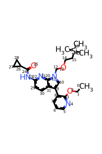 CCOc1ncccc1-c1cn(COCC[Si](C)(C)C)c2nc(NC(=O)C3CC3)ccc12